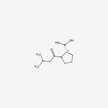 CN(C)CC(=O)N1CCC[C@H]1B(O)O